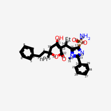 CCCC1(CCc2ccccc2)CC(O)=C(C(CC)c2c(S(N)(=O)=O)nc(-c3ccccc3)n2C)C(=O)O1